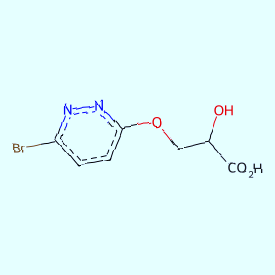 O=C(O)C(O)COc1ccc(Br)nn1